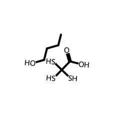 CCCCO.O=C(O)C(S)(S)S